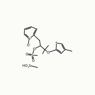 CS(=O)(=O)O.Cc1csc(OC(C)(C)C(Cc2cccc[n+]2[O-])OS(C)(=O)=O)c1